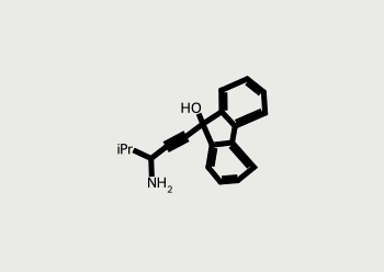 CC(C)C(N)C#CC1(O)c2ccccc2-c2ccccc21